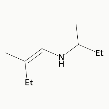 CC/C(C)=C\NC(C)CC